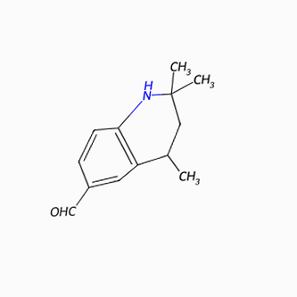 CC1CC(C)(C)Nc2ccc(C=O)cc21